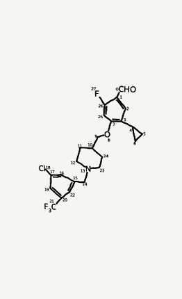 O=Cc1cc(C2CC2)c(OCC2CCN(Cc3cc(Cl)cc(C(F)(F)F)c3)CC2)cc1F